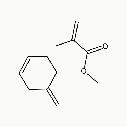 C=C(C)C(=O)OC.C=C1CC=CCC1